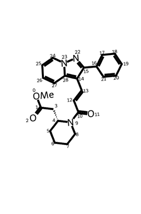 COC(=O)C[C@H]1CCCCN1C(=O)C=Cc1c(-c2ccccc2)nn2ccccc12